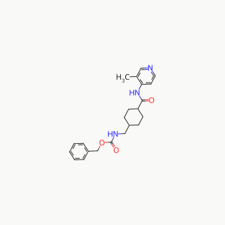 Cc1cnccc1NC(=O)C1CCC(CNC(=O)OCc2ccccc2)CC1